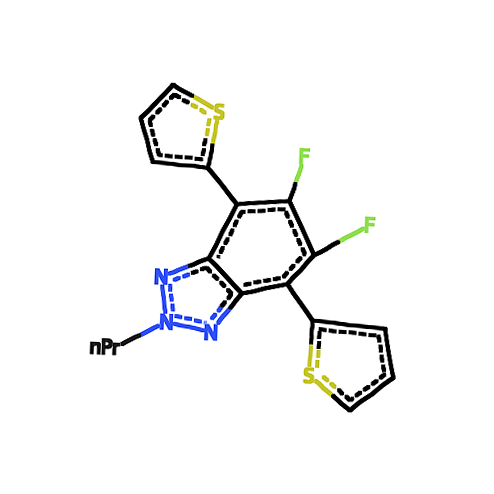 CCCn1nc2c(-c3cccs3)c(F)c(F)c(-c3cccs3)c2n1